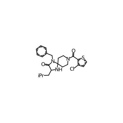 CC(C)CC1NC2(CCN(C(=O)c3sccc3Cl)CC2)N(Cc2ccccc2)C1=O